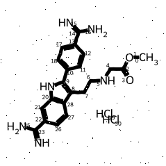 COC(=O)CNCCc1c(-c2ccc(C(=N)N)cc2)[nH]c2cc(C(=N)N)ccc12.Cl.Cl